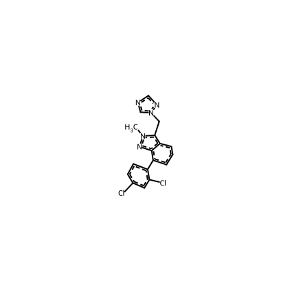 Cn1nc2c(-c3ccc(Cl)cc3Cl)cccc2c1Cn1cncn1